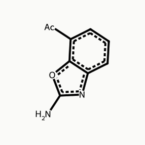 CC(=O)c1cccc2nc(N)oc12